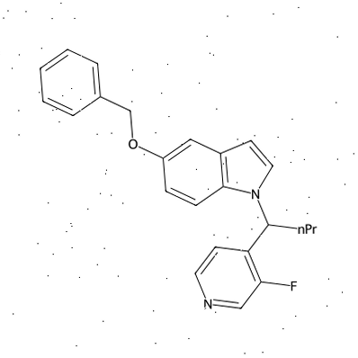 CCCC(c1ccncc1F)n1ccc2cc(OCc3ccccc3)ccc21